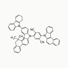 CC1(C)Cc2ccccc2-c2ccc3c(c21)c1cc(-n2c4c(c5ccccc52)C=CCC4)ccc1n3-c1cc(C#N)c(-n2c3ccccc3c3c4ccccc4ccc32)cc1C#N